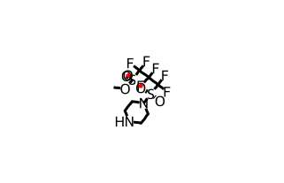 COS(=O)(=O)C(F)(F)C(F)(F)C(F)(F)S(=O)(=O)N1CCNCC1